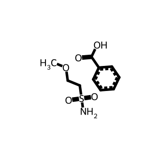 COCCS(N)(=O)=O.O=C(O)c1ccccc1